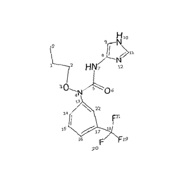 CCCON(C(=O)Nc1c[nH]cn1)c1cccc(C(F)(F)F)c1